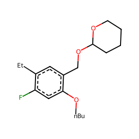 CCCCOc1cc(F)c(CC)cc1COC1CCCCO1